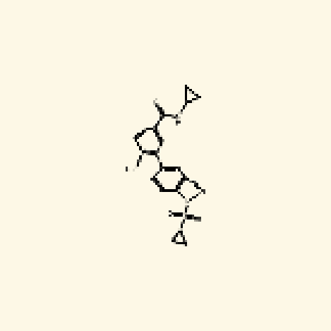 Cc1ccc(C(=O)NC2CC2)cc1-c1ccc2c(cnn2S(=O)(=O)C2CC2)c1